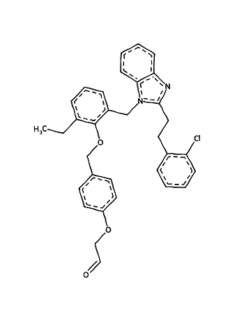 CCc1cccc(Cn2c(CCc3ccccc3Cl)nc3ccccc32)c1OCc1ccc(OCC=O)cc1